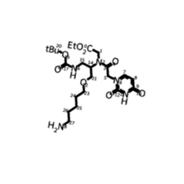 CCOC(=O)CN(C(=O)Cn1ccc(=O)[nH]c1=O)C(CNC(=O)OC(C)(C)C)COCCCCCN